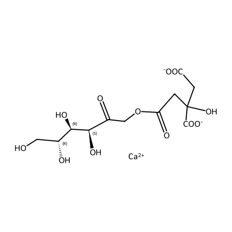 O=C([O-])CC(O)(CC(=O)OCC(=O)[C@@H](O)[C@H](O)[C@H](O)CO)C(=O)[O-].[Ca+2]